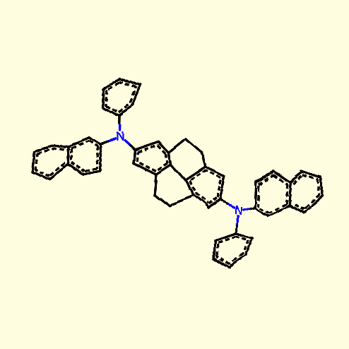 c1ccc(N(c2cc3c4c(c2)CCc2cc(N(c5ccccc5)c5ccc6ccccc6c5)cc(c2-4)CC3)c2ccc3ccccc3c2)cc1